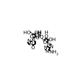 Nc1ncnc2c1ncn2[C@@H]1O[C@H](CO[PH](=O)O[C@@H]2[C@H](O)[C@@H](CO)O[C@H]2n2ccc(=O)n3ccnc23)[C@@H](O)[C@H]1O